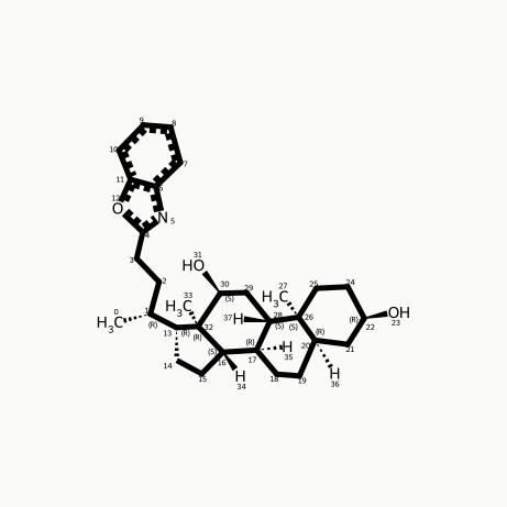 C[C@H](CCc1nc2ccccc2o1)[C@H]1CC[C@H]2[C@@H]3CC[C@@H]4C[C@H](O)CC[C@]4(C)[C@H]3C[C@H](O)[C@]12C